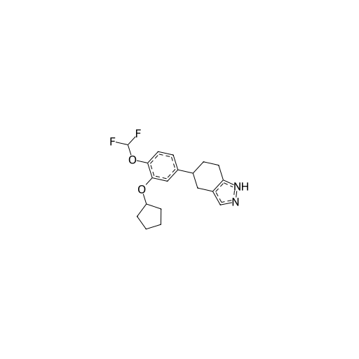 FC(F)Oc1ccc(C2CCc3[nH]ncc3C2)cc1OC1CCCC1